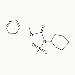 CS(=O)(=O)N(C(=O)OCc1ccccc1)C1CCCCC1